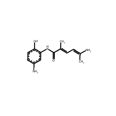 C/C(N)=C\C=C(/C)C(=O)Nc1cc(N)ccc1O